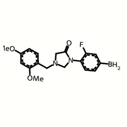 Bc1ccc(N2CN(Cc3ccc(OC)cc3OC)CC2=O)c(F)c1